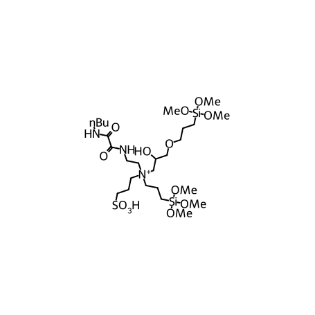 CCCCNC(=O)C(=O)NCC[N+](CCC[Si](OC)(OC)OC)(CCCS(=O)(=O)O)CC(O)COCCC[Si](OC)(OC)OC